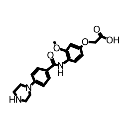 COc1cc(OCC(=O)O)ccc1NC(=O)c1ccc(N2CCNCC2)cc1